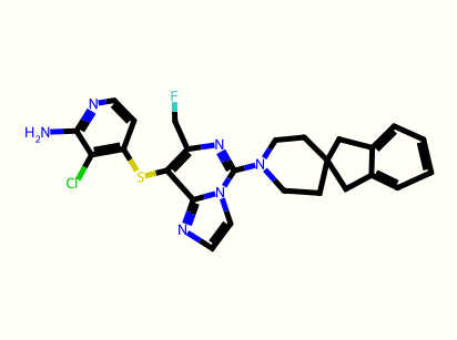 Nc1nccc(Sc2c(CF)nc(N3CCC4(CC3)Cc3ccccc3C4)n3ccnc23)c1Cl